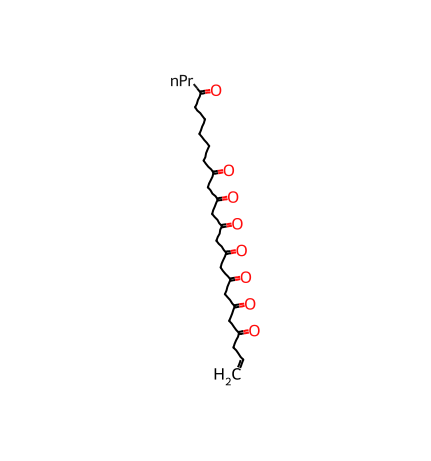 C=CCC(=O)CC(=O)CC(=O)CC(=O)CC(=O)CC(=O)CC(=O)CCCCCC(=O)CCC